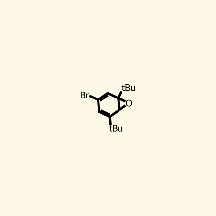 CC(C)(C)C1=CC(Br)=CC2(C(C)(C)C)OC12